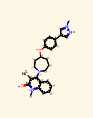 Cn1cc(-c2ccc(OC3CCCN(c4c(C#N)c(=O)n(C)c5ccccc45)CC3)cc2)cn1